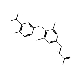 CC(C)c1cc(Oc2c(Br)cc(C[C@@H](N)C(=O)O)cc2Br)ccc1O